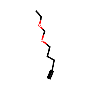 C#CCCCOCOCC